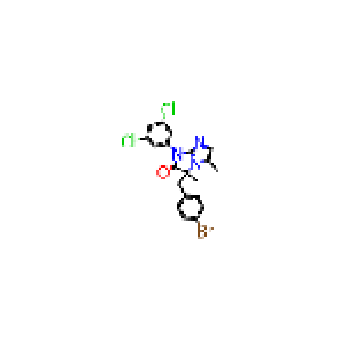 Cc1cnc2n1C(C)(Cc1ccc(Br)cc1)C(=O)N2c1cc(Cl)cc(Cl)c1